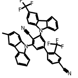 Cc1ccc2c(c1)c1ccccc1n2-c1cc(-c2ccc(C#N)cc2C(F)(F)F)cc(-n2c3ccccc3c3cc(C(F)(F)F)ccc32)c1C#N